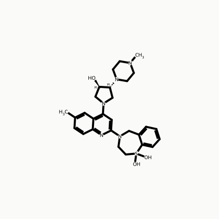 Cc1ccc2nc(N3CCS(O)(O)c4ccccc4C3)cc(N3C[C@@H](O)[C@H](N4CCN(C)CC4)C3)c2c1